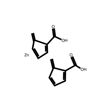 C=C1C=CC=C1C(=O)O.C=C1C=CC=C1C(=O)O.[Zn]